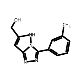 Cc1cccc(-c2nnc3cc(CO)[nH]n23)c1